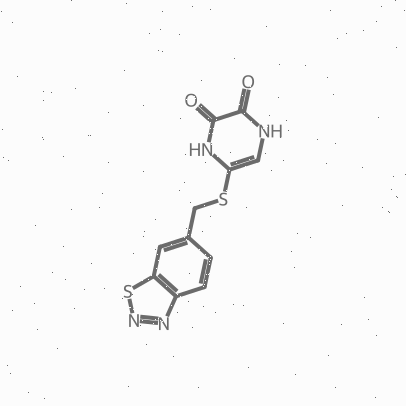 O=c1[nH]cc(SCc2ccc3nnsc3c2)[nH]c1=O